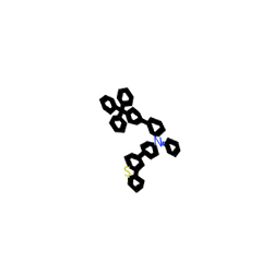 c1ccc(N(c2ccc(-c3ccc4sc5ccccc5c4c3)cc2)c2cccc(-c3ccc(C(c4ccccc4)(c4ccccc4)c4ccccc4)cc3)c2)cc1